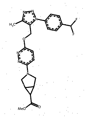 COC(=O)C1C2CN(c3ccc(OCc4c(C)nnn4-c4ccc(C(F)F)cc4)nn3)CC21